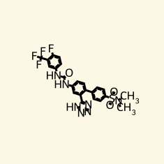 CN(C)S(=O)(=O)c1ccc(-c2ccc(NC(=O)Nc3ccc(F)c(C(F)(F)F)c3)cc2-c2nnn[nH]2)cc1